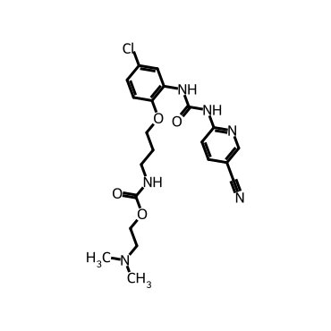 CN(C)CCOC(=O)NCCCOc1ccc(Cl)cc1NC(=O)Nc1ccc(C#N)cn1